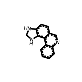 c1ccc2c(c1)ncc1ccc3c(c12)NCN3